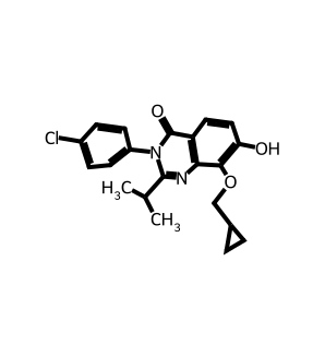 CC(C)c1nc2c(OCC3CC3)c(O)ccc2c(=O)n1-c1ccc(Cl)cc1